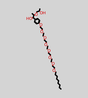 CCCCCCCCCOCCOCCOCCOCCOCCOCCOCCOc1ccc(C(O)C(C)OCC(C)O)cc1